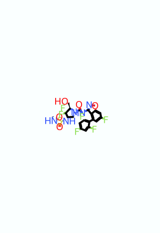 CNS(=O)(=O)N[C@@H]1CN(C(=O)Nc2noc3cc(F)cc(-c4c(F)cc(F)cc4F)c23)[C@H](CO)C1(F)F